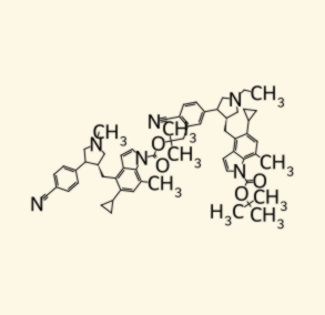 CCN1CC(c2ccc(C#N)c(CC(C)(C)OC(=O)n3ccc4c(C[C@@H]5CN(C)CC5c5ccc(C#N)cc5)c(C5CC5)cc(C)c43)c2)[C@H](Cc2c(C3CC3)cc(C)c3c2ccn3C(=O)OC(C)(C)C)C1